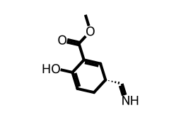 COC(=O)C1=C[C@H](C=N)CC=C1O